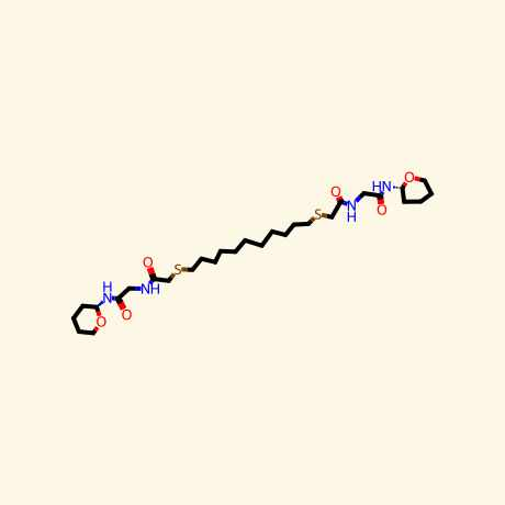 O=C(CSCCCCCCCCCCCSCC(=O)NCC(=O)N[C@@H]1CCCCO1)NCC(=O)N[C@H]1CCCCO1